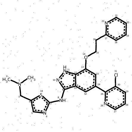 CN(C)Cc1cnc(Nc2n[nH]c3c(OCCc4ccccn4)cc(-c4ncccc4Cl)cc23)s1